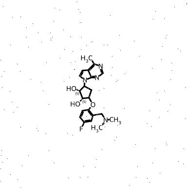 Cc1ncnc2c1ccn2C1CC(Oc2ccc(F)cc2CN(C)C)[C@@H](O)[C@H]1O